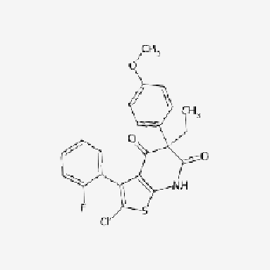 CCC1(c2ccc(OC)cc2)C(=O)Nc2sc(Cl)c(-c3ccccc3F)c2C1=O